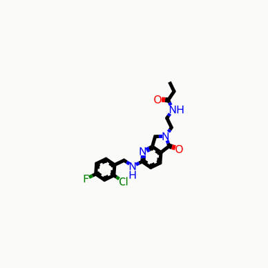 CCC(=O)NCCN1Cc2nc(NCc3ccc(F)cc3Cl)ccc2C1=O